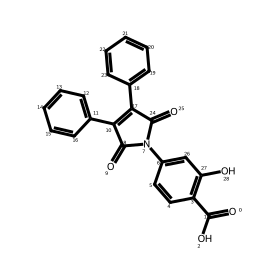 O=C(O)c1ccc(N2C(=O)C(c3ccccc3)=C(c3ccccc3)C2=O)cc1O